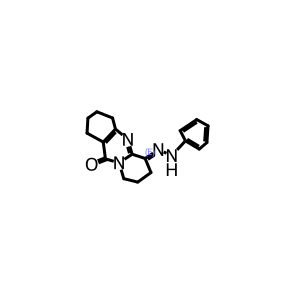 O=c1c2c(nc3n1CCC/C3=N\Nc1ccccc1)CCCC2